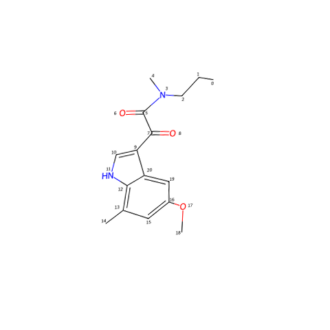 CCCN(C)C(=O)C(=O)c1c[nH]c2c(C)cc(OC)cc12